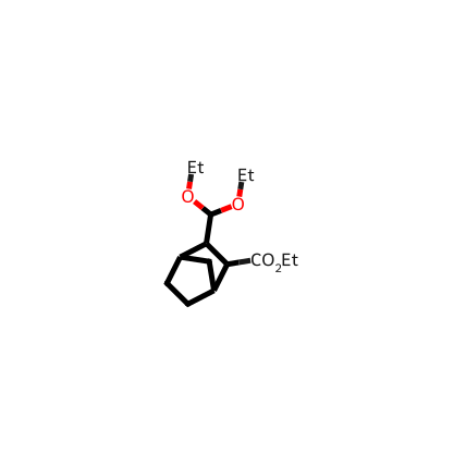 CCOC(=O)C1C2CCC(C2)C1C(OCC)OCC